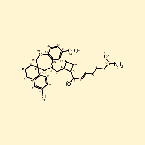 N[S+]([O-])CCC/C=C/C(O)C1CCC1CN1C[C@@]2(CCCc3cc(Cl)ccc32)COc2ccc(C(=O)O)cc21